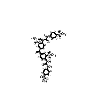 C=C(c1ccc(NC(=S)Nc2ccc(S(=O)(=O)O)cc2)c(S(=O)(=O)O)c1)c1ccc(NC(=S)Nc2ccc(S(=O)(=O)O)cc2)c(S(=O)(=O)O)c1